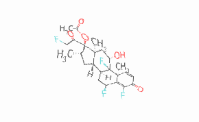 CC(=O)O[C@]1(C(=O)CF)[C@@H](C)C[C@H]2[C@@H]3C[C@H](F)C4=C(F)C(=O)C=C[C@]4(C)[C@@]3(F)[C@@H](O)C[C@@]21C